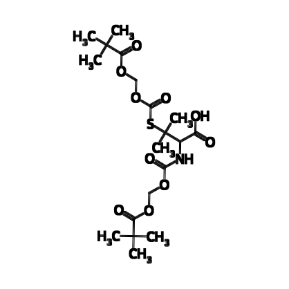 CC(C)(C)C(=O)OCOC(=O)NC(C(=O)O)C(C)(C)SC(=O)OCOC(=O)C(C)(C)C